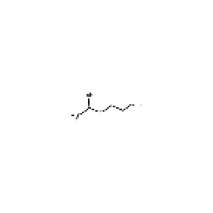 CCCO[CH](C)[Al]